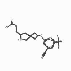 N#Cc1cc(OC2CC3(CNC(CCC(=O)Cl)C3)C2)nc(C(F)(F)F)c1